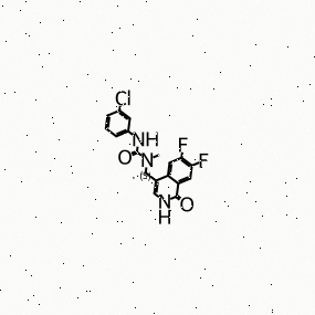 C[C@@H](c1c[nH]c(=O)c2cc(F)c(F)cc12)N(C)C(=O)Nc1cccc(Cl)c1